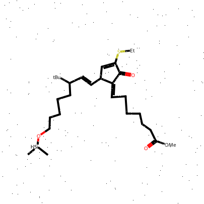 CCSC1=CC(C=CC(CCCCCO[SiH](C)C)C(C)(C)C)C(=CCCCCCC(=O)OC)C1=O